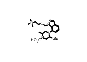 CC1CN(c2cccc3cnn(COCC[Si](C)(C)C)c23)C(C(C)(C)C)CN1C(=O)O